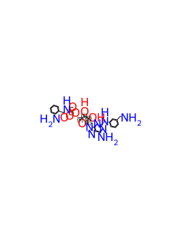 NCc1cccc(Nc2nc(N)c3ncn([C@@H]4O[C@H](COS(=O)(=O)NC(=O)c5ccccc5N)[C@@H](O)[C@H]4O)c3n2)c1